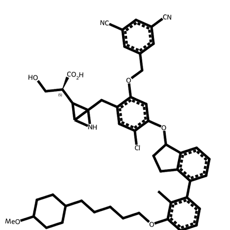 COC1CCC(CCCCCOc2cccc(-c3cccc4c3CCC4Oc3cc(OCc4cc(C#N)cc(C#N)c4)c(CC45NC4C5[C@@H](CO)C(=O)O)cc3Cl)c2C)CC1